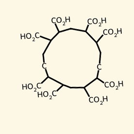 O=C(O)C1CCC(C(=O)O)C(C(=O)O)CC(C(=O)O)C(C(=O)O)CCC(C(=O)O)C(C(=O)O)CC1C(=O)O